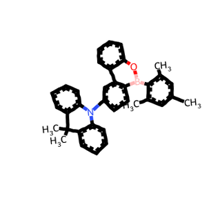 Cc1cc(C)c(B2Oc3ccccc3-c3cc(N4c5ccccc5C(C)(C)c5ccccc54)ccc32)c(C)c1